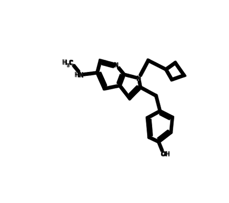 CNc1cnc2c(c1)cc(Cc1ccc(O)cc1)n2CC1CCC1